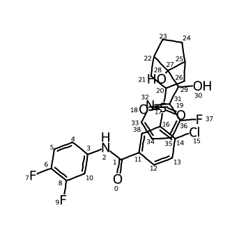 O=C(Nc1ccc(F)c(F)c1)c1ccc(Cl)c(S(=O)(=O)C2CC3CCC(C2)C3(O)C(O)c2ncccc2F)c1